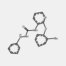 CC(C)(C)c1ccccc1Oc1ncccc1NC(=O)NNc1ccccc1